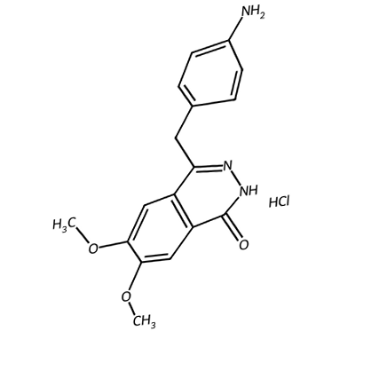 COc1cc2c(Cc3ccc(N)cc3)n[nH]c(=O)c2cc1OC.Cl